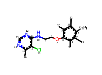 CCCc1c(C)c(C)c(OCCNc2ncnc(C)c2Cl)c(C)c1C